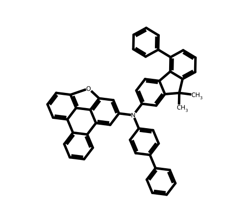 CC1(C)c2cc(N(c3ccc(-c4ccccc4)cc3)c3cc4oc5cccc6c7ccccc7c(c3)c4c56)ccc2-c2c(-c3ccccc3)cccc21